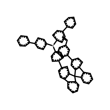 C=Cc1cccc(-c2ccc3c(c2)C2(c4ccccc4-c4ccc(-c5ccc(N(c6ccc(-c7ccccc7)cc6)c6ccc(-c7ccccc7)cc6)cc5)cc42)c2ccccc2-3)c1